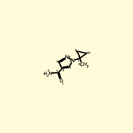 CC1(n2cc(C(N)=O)cn2)CC1